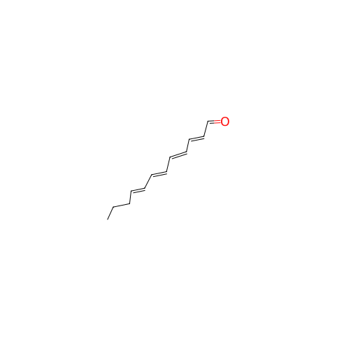 CCCC=CC=CC=CC=CC=O